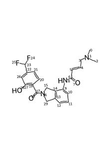 CN(C)C/C=C/C(=O)Nc1cccc2c1CN(C(=O)c1ccc(C(F)F)cc1O)C2